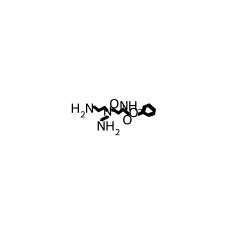 NCCCN(CCN)C(=O)C[C@H](N)C(=O)OCc1ccccc1